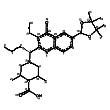 CCC[C@H](c1nc2ccc(B3OC(C)(C)C(C)(C)O3)cc2c(=O)n1CC)N1CC(C)N(C(=O)O)C(C)C1